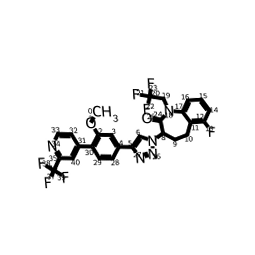 COc1cc(-c2cn(C3CCc4c(F)cccc4N(CC(F)(F)F)C3=O)nn2)ccc1-c1ccnc(C(F)(F)F)c1